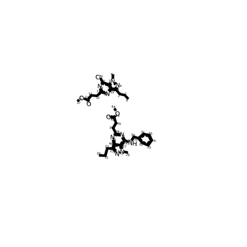 CCCc1nn(C)c2c(Cl)nc(CCC(=O)OC)nc12.CCCc1nn(C)c2c(NCc3ccccc3)nc(CCC(=O)OC)nc12